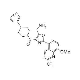 COc1ccc(-c2nc(C(=O)N3CCC(c4ccccc4)CC3)c(CN)o2)c2ccc(C(F)(F)F)nc12